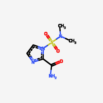 CN(C)S(=O)(=O)n1ccnc1C(N)=O